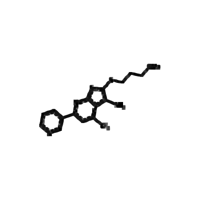 COCCCSc1sc2nc(-c3cccnc3)cc(C(F)(F)F)c2c1N